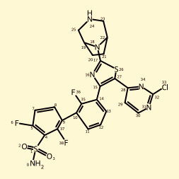 NS(=O)(=O)c1c(F)ccc(-c2cccc(-c3nc(N4C5CCC4CNC5)sc3-c3ccnc(Cl)n3)c2F)c1F